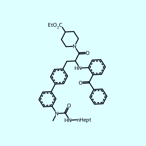 CCCCCCCNC(=O)N(C)c1cccc(-c2ccc(CC(Nc3ccccc3C(=O)c3ccccc3)C(=O)N3CCC(C(=O)OCC)CC3)cc2)c1